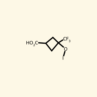 O=C(O)C1CC(OI)(C(F)(F)F)C1